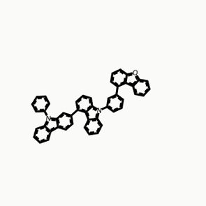 c1ccc(-n2c3ccccc3c3ccc(-c4cccc5c4c4ccccc4n5-c4cccc(-c5cccc6oc7ccccc7c56)c4)cc32)cc1